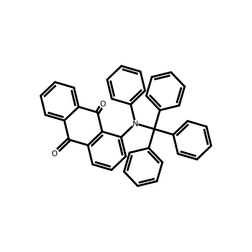 O=C1c2ccccc2C(=O)c2c1cccc2N(c1ccccc1)C(c1ccccc1)(c1ccccc1)c1ccccc1